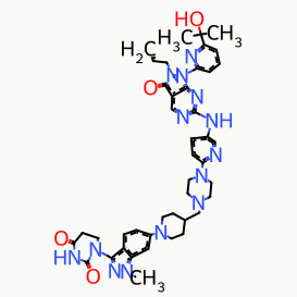 C=CCn1c(=O)c2cnc(Nc3ccc(N4CCN(CC5CCN(c6ccc7c(N8CCC(=O)NC8=O)nn(C)c7c6)CC5)CC4)nc3)nc2n1-c1cccc(C(C)(C)O)n1